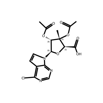 CC(=O)O[C@H]1[C@H](n2ccc3c(Cl)ncnc32)O[C@H](C(=O)O)[C@@]1(C)OC(C)=O